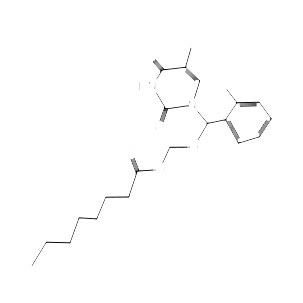 CCCCCCCC(=O)OCOC(c1ccccc1F)n1cc(F)c(=O)[nH]c1=O